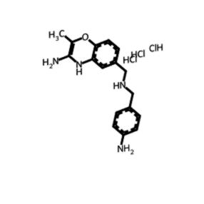 CC1=C(N)Nc2cc(CNCc3ccc(N)cc3)ccc2O1.Cl.Cl.Cl